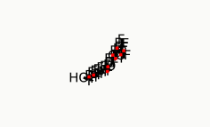 OCC(F)(F)C(F)(F)C(F)(F)C(F)(F)C(F)(F)C(F)(F)C(F)(F)OC(F)(F)C(F)(F)OC(F)(F)C(F)(OC(F)(F)F)OC(F)(F)C(F)(F)F